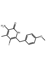 COc1ccc(Cc2[nH]c(=O)c(N)c(C)c2I)cc1